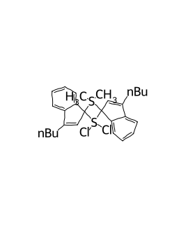 CCCCC1=CC2(c3ccccc31)S(C)(C)C1(C=C(CCCC)c3ccccc31)S2(Cl)Cl